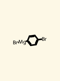 [Br][Mg][c]1ccc(Br)cc1